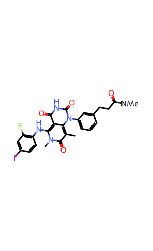 CNC(=O)CCc1cccc(-n2c(=O)[nH]c(=O)c3c(Nc4ccc(I)cc4F)n(C)c(=O)c(C)c32)c1